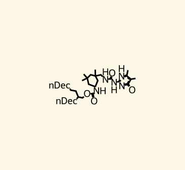 CCCCCCCCCCCCC(CCCCCCCCCC)COC(=O)NC1CC(C)(C)CC(C)(CNC(=O)Nc2nc(=O)c(C)c(C)[nH]2)C1